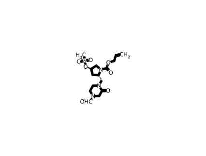 C=CCOC(=O)N1C[C@H](OS(C)(=O)=O)C[C@H]1CN1CCN(C=O)CC1=O